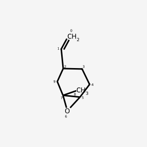 C=CC1CCC2OC2(C)C1